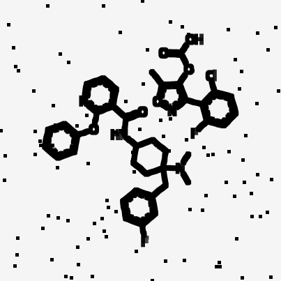 CN(C)C1(Cc2cccc(F)c2)CCC(NC(=O)c2cccnc2Oc2ccccc2)CC1.Cc1onc(-c2c(F)cccc2Cl)c1OC(=O)O